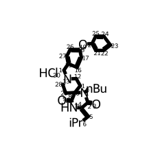 CCCCN1C(=O)C(=CC(C)C)NC(=O)C12CCN(Cc1ccc(Oc3ccccc3)cc1)CC2.Cl